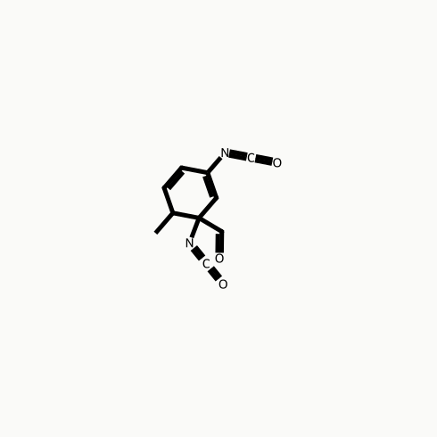 CC1C=CC(N=C=O)=CC1(C=O)N=C=O